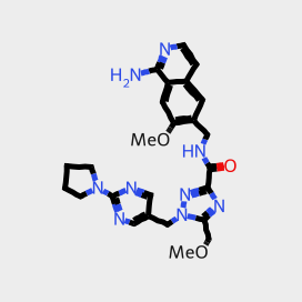 COCc1nc(C(=O)NCc2cc3ccnc(N)c3cc2OC)nn1Cc1cnc(N2CCCC2)nc1